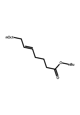 CCCCCCCCCC=CCCCC(=O)OCCCC